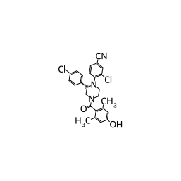 Cc1cc(O)cc(C)c1C(=O)N1CCN(c2ccc(C#N)cc2Cl)[C@H](c2ccc(Cl)cc2)C1